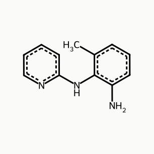 Cc1cccc(N)c1Nc1ccccn1